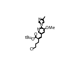 COc1cc(/C=C(/CCCCl)C(=O)OC(C)(C)C)cnc1-n1cnc(C)c1